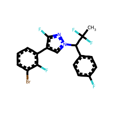 CC(F)(F)C(c1ccc(F)cc1)n1cc(-c2cccc(Br)c2F)c(F)n1